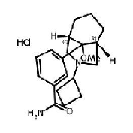 COC1(c2cccc(C(N)=O)c2)[C@@H]2CCC[C@H]1CN(C1CCC1)C2.Cl